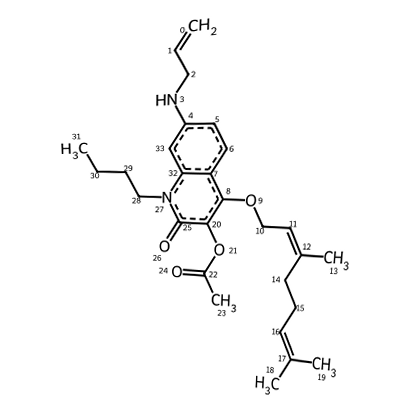 C=CCNc1ccc2c(OCC=C(C)CCC=C(C)C)c(OC(C)=O)c(=O)n(CCCC)c2c1